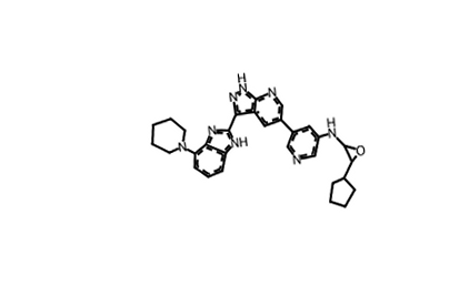 c1cc(N2CCCCC2)c2nc(-c3n[nH]c4ncc(-c5cncc(NC6OC6C6CCCC6)c5)cc34)[nH]c2c1